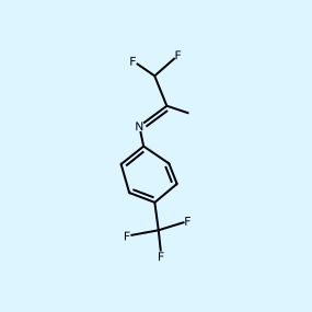 C/C(=N\c1ccc(C(F)(F)F)cc1)C(F)F